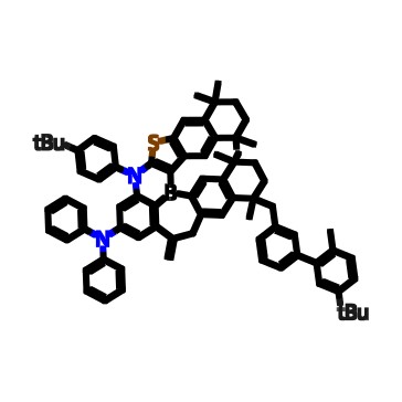 C=C1Cc2cc3c(cc2B2c4c1cc(N(c1ccccc1)c1ccccc1)cc4N(c1ccc(C(C)(C)C)cc1)c1sc4cc5c(cc4c12)C(C)(C)CCC5(C)C)C(C)(C)CCC3(C)Cc1cccc(-c2cc(C(C)(C)C)ccc2C)c1